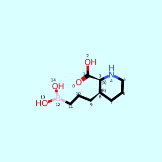 O=C(O)[C@H]1NCCC[C@H]1CCCB(O)O